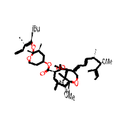 C=C[C@H](C)[C@H](O[C@@]1(C)OCC[C@H](OC(=O)[C@@H]2/C=C(/C)[C@@H](OC)[C@H]3OC/C(=C\C=C\[C@H](C)[C@H](OC)/C(C)=C/C)[C@](O)([C@H]3C)C2(C)C)C[C@@H]1C)C(C)CC